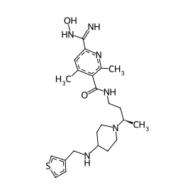 Cc1cc(C(=N)NO)nc(C)c1C(=O)NCC[C@@H](C)N1CCC(NCc2ccsc2)CC1